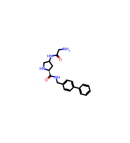 NCC(=O)NC1CN[C@H](C(=O)NCc2ccc(-c3ccccc3)cc2)C1